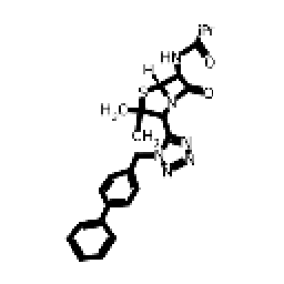 CC(C)C(=O)NC1C(=O)N2C(c3nnnn3Cc3ccc(-c4ccccc4)cc3)C(C)(C)S[C@H]12